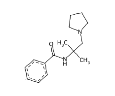 CC(C)(CN1CCCC1)NC(=O)c1cc[c]cc1